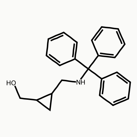 OCC1CC1CNC(c1ccccc1)(c1ccccc1)c1ccccc1